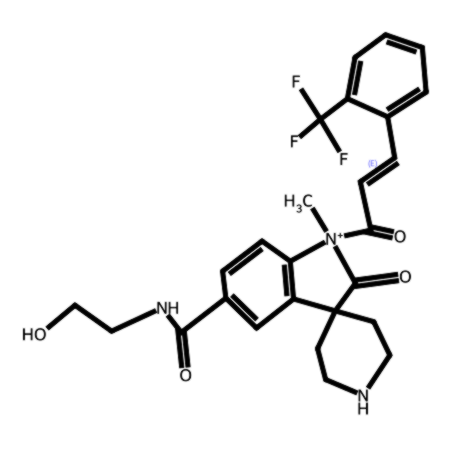 C[N+]1(C(=O)/C=C/c2ccccc2C(F)(F)F)C(=O)C2(CCNCC2)c2cc(C(=O)NCCO)ccc21